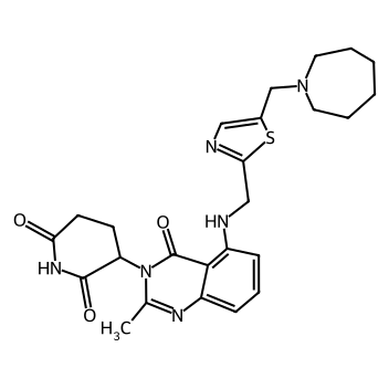 Cc1nc2cccc(NCc3ncc(CN4CCCCCC4)s3)c2c(=O)n1C1CCC(=O)NC1=O